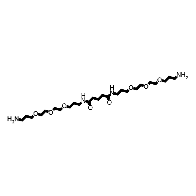 NCCCOCCOCCOCCCNC(=O)CCCC(=O)NCCCOCCOCCOCCCN